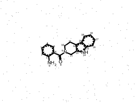 Nc1ccccc1C(=O)N1CCc2c([nH]c3ccccc23)C1